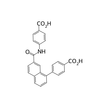 O=C(O)c1ccc(NC(=O)c2ccc3cccc(-c4ccc(C(=O)O)cc4)c3c2)cc1